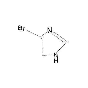 BrC1CN[C]=N1